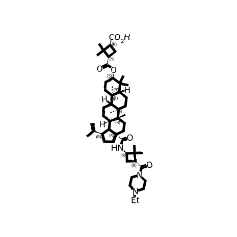 C=C(C)[C@@H]1CC[C@]2(C(=O)N[C@H]3C[C@@H](C(=O)N4CCN(CC)CC4)C3(C)C)CC[C@]3(C)[C@H](CC[C@@H]4[C@@]5(C)CC[C@H](OC(=O)[C@H]6C[C@@H](C(=O)O)C6(C)C)C(C)(C)[C@@H]5CC[C@]43C)C12